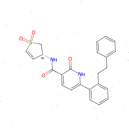 O=C(N[C@@H]1C=CS(=O)(=O)C1)c1ccc(-c2ccccc2CCc2ccccc2)[nH]c1=O